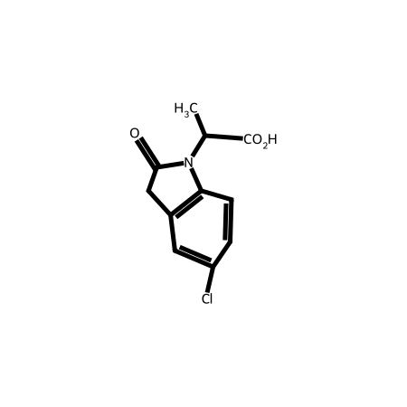 CC(C(=O)O)N1C(=O)Cc2cc(Cl)ccc21